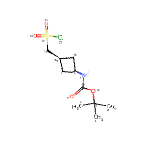 CC(C)(C)OC(=O)N[C@H]1C[C@@H](CS(=O)(=O)Cl)C1